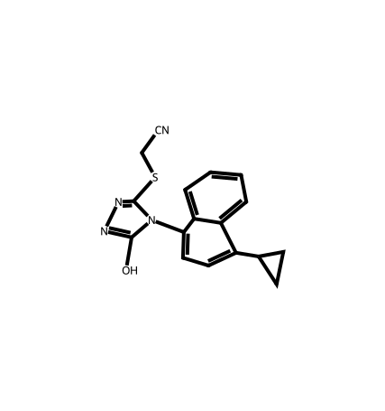 N#CCSc1nnc(O)n1-c1ccc(C2CC2)c2ccccc12